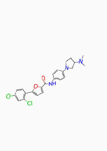 CN(C)C1CCN(c2ccc(NC(=O)c3ccc(-c4ccc(Cl)cc4Cl)o3)cc2)C1